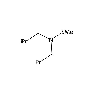 CSN(CC(C)C)CC(C)C